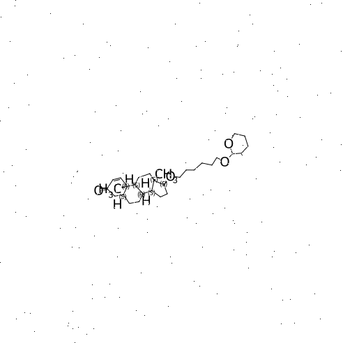 C[C@]12C=CC(=O)C[C@@H]1CC[C@@H]1[C@@H]2CC[C@]2(C)[C@@H](OCCCCCCOC3CCCCO3)CC[C@@H]12